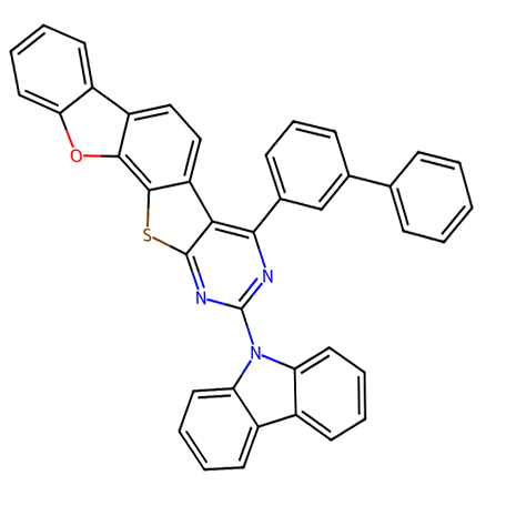 c1ccc(-c2cccc(-c3nc(-n4c5ccccc5c5ccccc54)nc4sc5c(ccc6c7ccccc7oc65)c34)c2)cc1